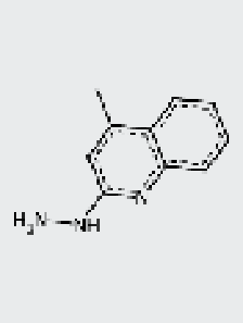 Cc1cc(NN)nc2ccccc12